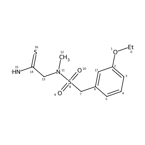 CCOc1cccc(CS(=O)(=O)N(C)CC([NH])=S)c1